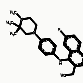 CN1CCN(c2ccc(Nc3c(CO)cnc4ccc(F)cc34)cc2)CC1(C)C